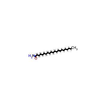 CCCCCCCC=CCCCCCCCCCCCCC(N)=O